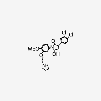 COc1ccc(N2C(=O)C(c3ccc(Cl)c(Cl)c3)CC2O)cc1OCCN1CCCC1